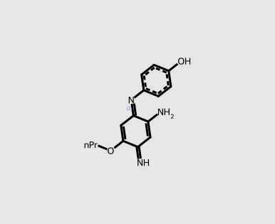 CCCOC1=C/C(=N/c2ccc(O)cc2)C(N)=CC1=N